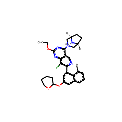 CCc1cccc2cc(OC3CCCCO3)cc(-c3ncc4c(N5C[C@H]6CC[C@@H](C5)N6C(=O)O)nc(OCC=O)nc4c3F)c12